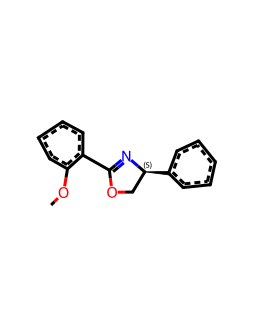 COc1ccccc1C1=N[C@@H](c2ccccc2)CO1